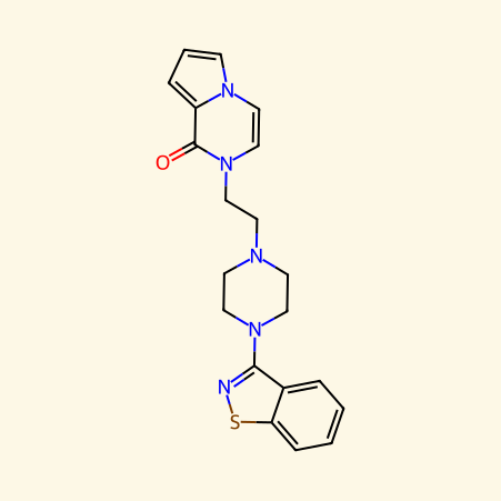 O=c1c2cccn2ccn1CCN1CCN(c2nsc3ccccc23)CC1